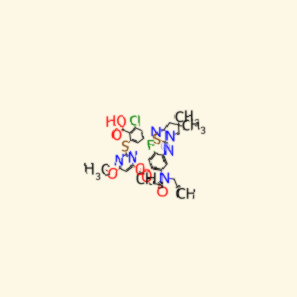 C#CCN1C(=O)COc2cc(F)c(/N=c3\snc4n3CC(C)(C)C4)cc21.COc1cc(OC)nc(Sc2cccc(Cl)c2C(=O)O)n1